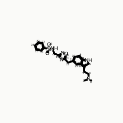 CN(C)CCc1c[nH]c2ccc(Cc3nc(CNS(=O)(=O)c4ccccc4)no3)cc12